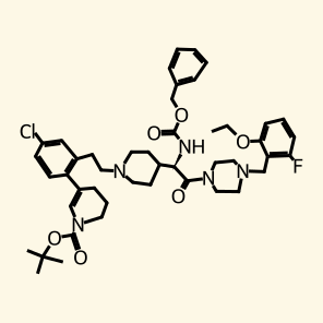 CCOc1cccc(F)c1CN1CCN(C(=O)[C@H](NC(=O)OCc2ccccc2)C2CCN(CCc3cc(Cl)ccc3C3=CN(C(=O)OC(C)(C)C)CCC3)CC2)CC1